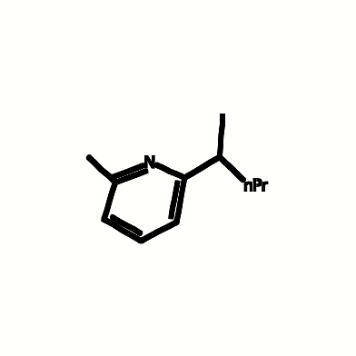 CCCC(C)c1cccc(C)n1